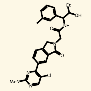 CCC(O)C(NC(=O)CN1Cc2ccc(-c3nc(NC)ncc3Cl)cc2C1=O)c1cccc(C)c1